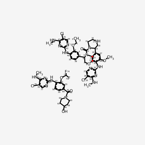 CCOc1cc(C2COCCN2C(=O)N2CCNCC2c2ccc(Nc3ncc(Cl)c(NC)n3)c(OC)c2)ccc1Nc1ncc(Cl)c(NC)n1.CNc1nc(Nc2ccc(C(=O)N3CCC(O)CC3)cc2OC(F)F)ncc1Cl